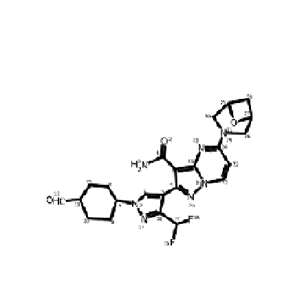 NC(=O)c1c(-c2cn(C3CCC(C=O)CC3)nc2C(F)F)nn2ccc(N3CC4CC(C3)O4)nc12